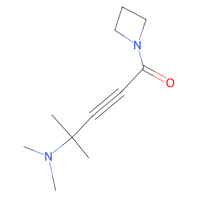 CN(C)C(C)(C)C#CC(=O)N1CCC1